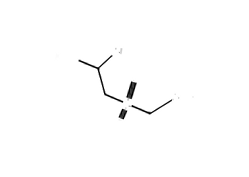 CC(=O)NCS(=O)(=O)CC(N)C(=O)O